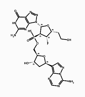 Nc1nc2c(nnn2[C@@H]2O[C@H](CCO)[C@H](F)[C@H]2P(=O)(S)OC[C@H]2O[C@@H](c3cnn4c(N)ncnc34)C[C@@H]2O)c(=O)[nH]1